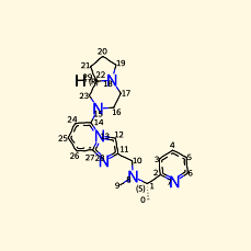 C[C@@H](c1ccccn1)N(C)Cc1cn2c(N3CCN4CCC[C@@H]4C3)cccc2n1